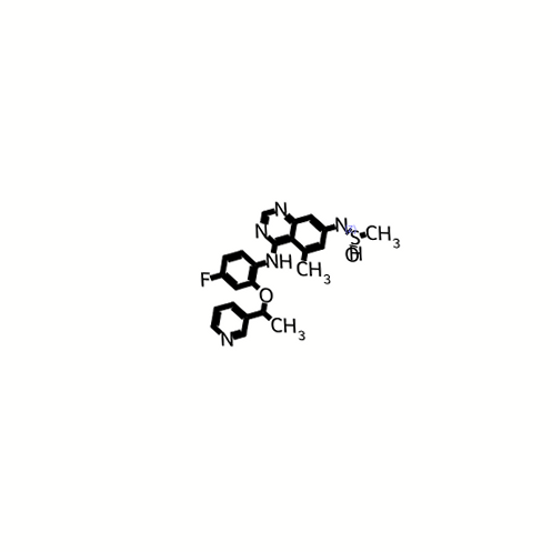 Cc1cc(/N=[SH](/C)=O)cc2ncnc(Nc3ccc(F)cc3OC(C)c3cccnc3)c12